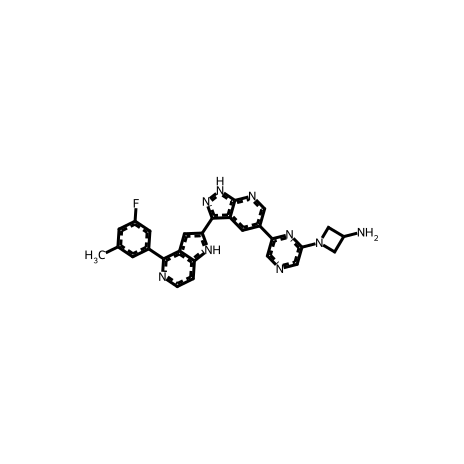 Cc1cc(F)cc(-c2nccc3[nH]c(-c4n[nH]c5ncc(-c6cncc(N7CC(N)C7)n6)cc45)cc23)c1